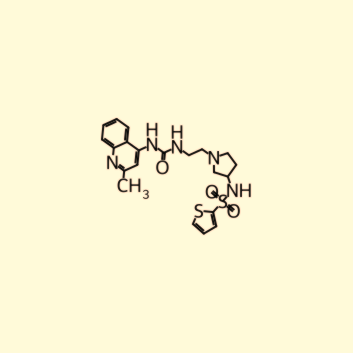 Cc1cc(NC(=O)NCCN2CCC(NS(=O)(=O)c3cccs3)C2)c2ccccc2n1